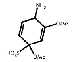 COC1=CC(OC)(S(=O)(=O)O)C=CC1N